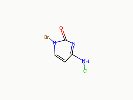 O=c1nc(NCl)ccn1Br